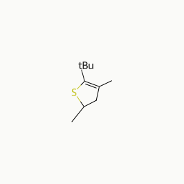 CC1=C(C(C)(C)C)SC(C)C1